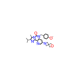 COc1ccc(Cn2c(=O)n3c(C)c(C(C)C)nc3c3ncc(N4CC5(COC5)C4)cc32)cc1